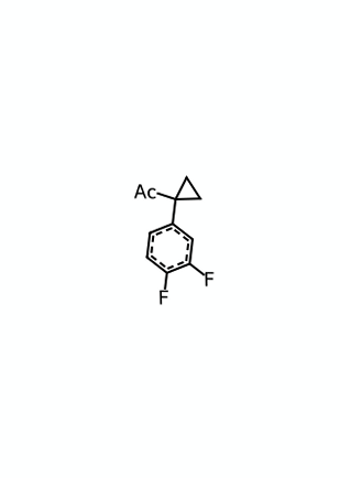 CC(=O)C1(c2ccc(F)c(F)c2)CC1